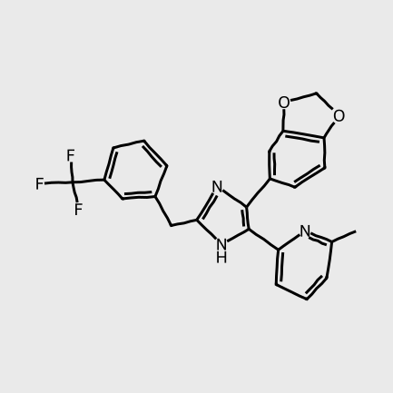 Cc1cccc(-c2[nH]c(Cc3cccc(C(F)(F)F)c3)nc2-c2ccc3c(c2)OCO3)n1